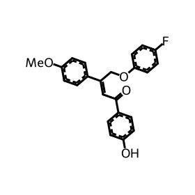 COc1ccc(C(=CC(=O)c2ccc(O)cc2)COc2ccc(F)cc2)cc1